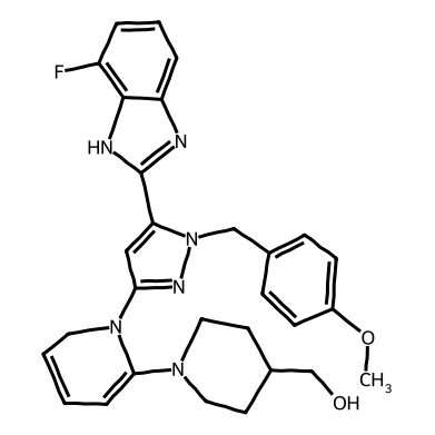 COc1ccc(Cn2nc(N3CC=CC=C3N3CCC(CO)CC3)cc2-c2nc3cccc(F)c3[nH]2)cc1